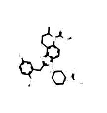 COC(=O)N1c2ccc3c(nc(Cc4cc(F)ccc4OC)n3[C@@H]3CCC[C@@H](C(=O)O)C3)c2CCC1C